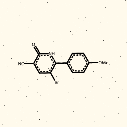 COc1ccc(-c2[nH]c(=O)c(C#N)cc2Br)cc1